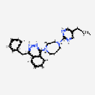 CCc1cnc(N2CCCN(c3nnc(Cc4ccccc4)c4ccccc34)CC2)nc1